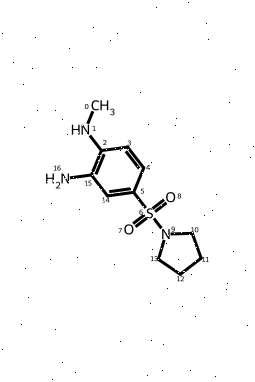 CNc1ccc(S(=O)(=O)N2CCCC2)cc1N